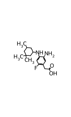 CC1CC(Nc2cc(F)c(CC(=O)O)cc2N)CC(C)(C)C1